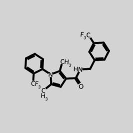 Cc1cc(C(=O)NCc2cccc(C(F)(F)F)c2)c(C)n1-c1ccccc1C(F)(F)F